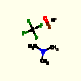 CN(C)C.F[B-](F)(F)F.O=S.[H+]